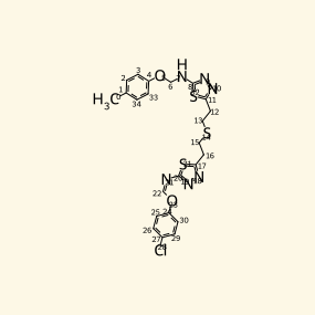 Cc1ccc(OCNc2nnc(CCSCCc3nnc(/N=C\Oc4ccc(Cl)cc4)s3)s2)cc1